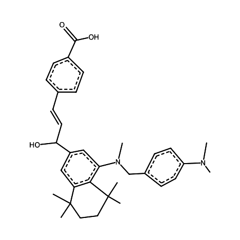 CN(C)c1ccc(CN(C)c2cc(C(O)C=Cc3ccc(C(=O)O)cc3)cc3c2C(C)(C)CCC3(C)C)cc1